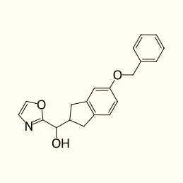 OC(c1ncco1)C1Cc2ccc(OCc3ccccc3)cc2C1